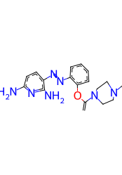 C=C(Oc1ccccc1/N=N/c1ccc(N)nc1N)N1CCN(C)CC1